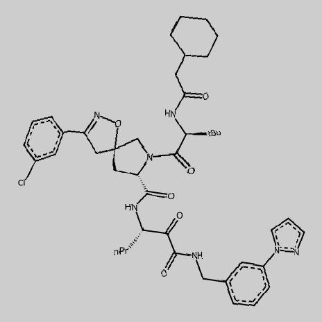 CCC[C@H](NC(=O)[C@@H]1C[C@]2(CC(c3cccc(Cl)c3)=NO2)CN1C(=O)[C@@H](NC(=O)CC1CCCCC1)C(C)(C)C)C(=O)C(=O)NCc1cccc(-n2cccn2)c1